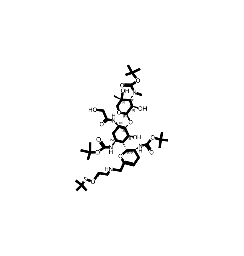 CN(C(=O)OC(C)(C)C)[C@@H]1[C@@H](O)[C@@H](O[C@H]2[C@H](NC(=O)CO)C[C@H](NC(=O)OC(C)(C)C)C([C@H]3OC(CNCCOSC(C)(C)C)=CC[C@H]3NC(=O)OC(C)(C)C)[C@@H]2O)OC[C@]1(C)O